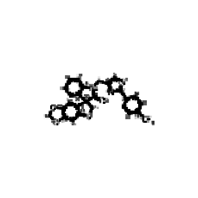 O=C1N(Cc2csc(-c3ccc(C(F)(F)F)cc3)n2)c2ccccc2C12COc1cc3c(cc12)OCO3